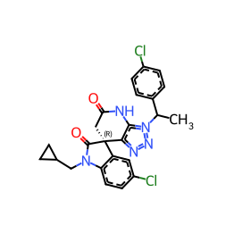 CC(c1ccc(Cl)cc1)n1nnc2c1NC(=O)C[C@]21C(=O)N(CC2CC2)c2ccc(Cl)cc21